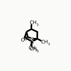 CC1CC2(C)N(C)C(=O)C1C(=O)N2C